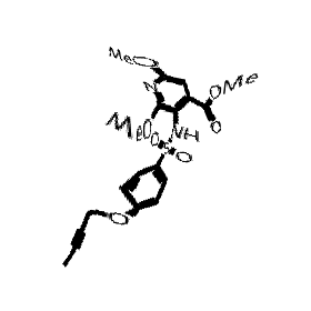 CC#CCOc1ccc(S(=O)(=O)Nc2c(C(=O)OC)cc(OC)nc2OC)cc1